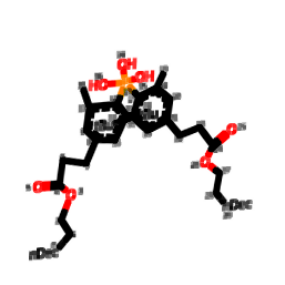 CCCCCCCCCCCCOC(=O)CCc1cc(C)c(P(O)(O)(O)c2c(C)cc(CCC(=O)OCCCCCCCCCCCC)cc2C(C)(C)C)c(C(C)(C)C)c1